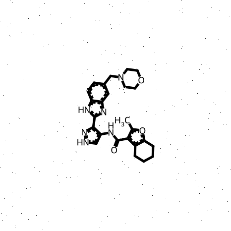 Cc1oc2c(c1C(=O)Nc1c[nH]nc1-c1nc3cc(CN4CCOCC4)ccc3[nH]1)CCCC2